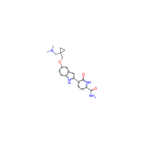 CN(C)CC1(COc2ccc3[nH]c(-c4c[c]c(C(N)=O)[nH]c4=O)cc3c2)CC1